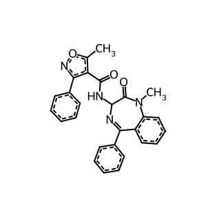 Cc1onc(-c2ccccc2)c1C(=O)NC1N=C(c2ccccc2)c2ccccc2N(C)C1=O